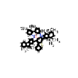 CC(C)(C)c1ccc(N2B3c4cc(C(C)(C)C)ccc4-n4c5cc6c(cc5c5c7sc8ccccc8c7c(c3c54)-c3cc4c(cc32)-c2ccccc2C4(C)C)C(C)(C)CCC6(C)C)cc1